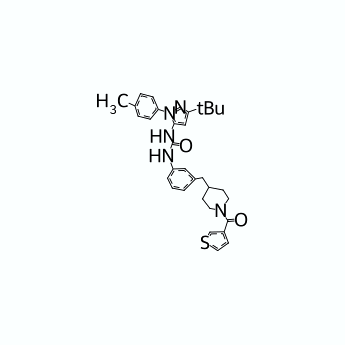 Cc1ccc(-n2nc(C(C)(C)C)cc2NC(=O)Nc2cccc(CC3CCN(C(=O)c4ccsc4)CC3)c2)cc1